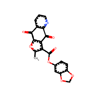 Cc1oc2c(c1C(=O)Oc1ccc3c(c1)OCO3)C(=O)c1ncccc1C2=O